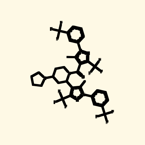 Cc1c(C(=O)N2CCC(N3CCCC3)CC2c2c(C(F)(F)F)nn(-c3cccc(C(F)(F)F)c3)c2C)c(C(F)(F)F)nn1-c1cccc(C(F)(F)F)c1